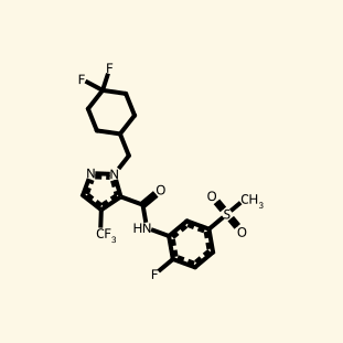 CS(=O)(=O)c1ccc(F)c(NC(=O)c2c(C(F)(F)F)cnn2CC2CCC(F)(F)CC2)c1